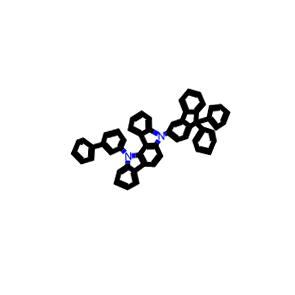 c1ccc(-c2cccc(-n3c4ccccc4c4ccc5c(c6ccccc6n5-c5ccc6c(c5)-c5ccccc5C6(c5ccccc5)c5ccccc5)c43)c2)cc1